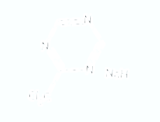 ClC(Cl)(Cl)c1ncncn1.[NaH]